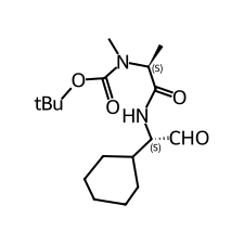 C[C@@H](C(=O)N[C@H](C=O)C1CCCCC1)N(C)C(=O)OC(C)(C)C